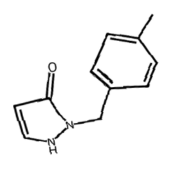 Cc1ccc(Cn2[nH]ccc2=O)cc1